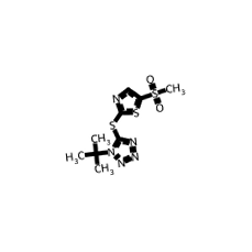 CC(C)(C)n1nnnc1Sc1ncc(S(C)(=O)=O)s1